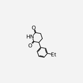 CCc1cccc(C2CCC(=O)NC2=O)c1